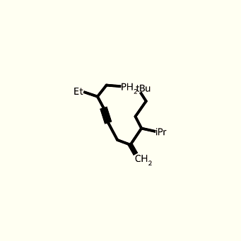 C=C(CC#CC(CC)CP)C(CCC(C)(C)C)C(C)C